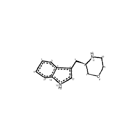 c1ccc2c(C[C@@H]3COCCN3)c[nH]c2c1